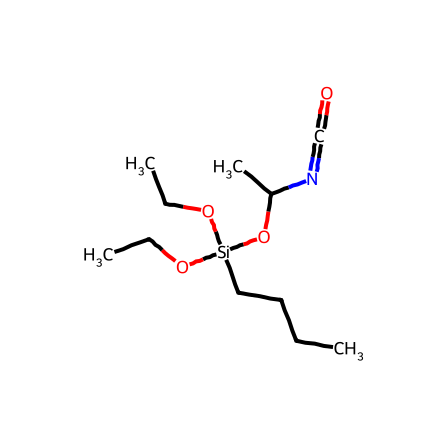 CCCC[Si](OCC)(OCC)OC(C)N=C=O